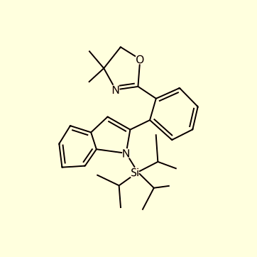 CC(C)[Si](C(C)C)(C(C)C)n1c(-c2ccccc2C2=NC(C)(C)CO2)cc2ccccc21